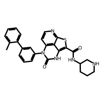 Cc1ccccc1-c1cccc(N2C(=O)Nc3c(C(=O)NC4CCCNC4)sc4nccc2c34)c1